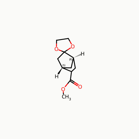 COC(=O)C1C[C@H]2C[C@H]1CC21OCCO1